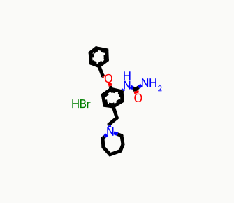 Br.NC(=O)Nc1cc(CCN2CCCCCC2)ccc1OCc1ccccc1